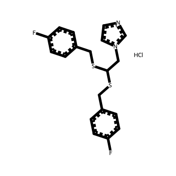 Cl.Fc1ccc(CSC(Cn2ccnc2)SCc2ccc(F)cc2)cc1